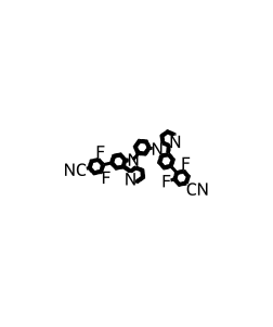 N#Cc1cc(F)c(-c2ccc3c(c2)c2ncccc2n3-c2cccc(-n3c4ccc(-c5c(F)cc(C#N)cc5F)cc4c4ncccc43)c2)c(F)c1